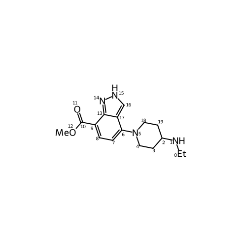 CCNC1CCN(c2ccc(C(=O)OC)c3n[nH]cc23)CC1